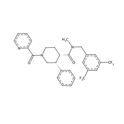 CN(Cc1cc(C(F)(F)F)cc(C(F)(F)F)c1)C(=O)[C@H]1CCN(C(=O)c2ccccn2)C[C@H]1c1ccccc1